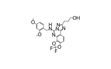 COc1ccc(CNc2nc3c4c(ccc3c3nc(CCCO)nn23)OC(F)(F)O4)c(OC)c1